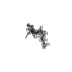 CCCCCCCCC(NC(=O)[C@@H]1CCCN1C(=O)c1cccs1)C(=O)NC(CC(C)C)C(=O)NC(C)(C)C(=O)NC(CC(C)C)C(=O)NC(CC(C)C)C(=O)NC(C)(C)C(=O)NC(C)(C)C(=O)NCCC(=O)NC(C)CN(C)C